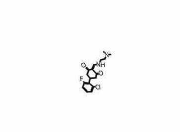 CN(C)CCNC=C1C(=O)CC(c2c(F)cccc2Cl)CC1=O